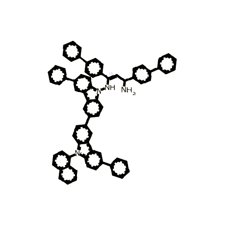 NC(/C=C(\Nn1c2ccc(-c3ccccc3)cc2c2cc(-c3ccc4c(c3)c3cc(-c5ccccc5)ccc3n4-c3cccc4ccccc34)ccc21)c1ccc(-c2ccccc2)cc1)c1ccc(-c2ccccc2)cc1